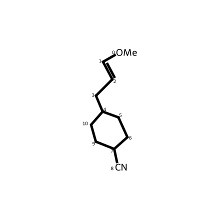 COC=CCC1CCC(C#N)CC1